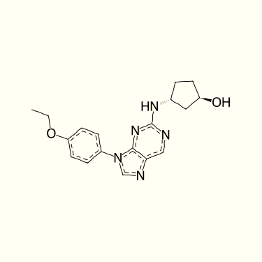 CCOc1ccc(-n2cnc3cnc(N[C@@H]4CC[C@@H](O)C4)nc32)cc1